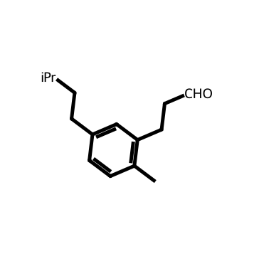 Cc1ccc(CCC(C)C)cc1CCC=O